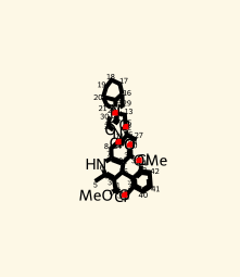 COC(=O)C1=C(C)NC(CC(=O)N2CCN(C3C4CCCC3CN(C(=O)OC(C)Cl)C4)CC2)=C(C(=O)OC)C1c1c(Cl)cccc1Cl